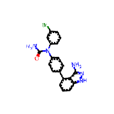 NC(=O)N(c1ccc(-c2cccc3[nH]nc(N)c23)cc1)c1cccc(Br)c1